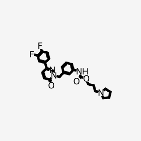 O=C(Nc1cccc(Cn2nc(-c3ccc(F)c(F)c3)ccc2=O)c1)OCCCN1CCCC1